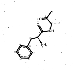 CC(=O)[C@H](C)NC(=O)[C@@H](N)Cc1ccccc1